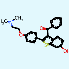 CN(C)CCOc1ccc(-c2sc3cc(O)ccc3c2C(=O)c2ccccc2)cc1